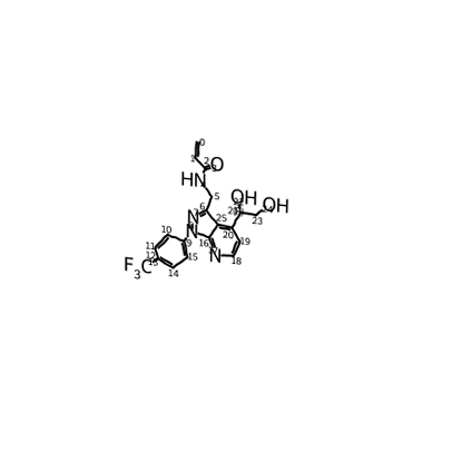 C=CC(=O)NCc1nn(-c2ccc(C(F)(F)F)cc2)c2nccc([C@@H](O)CO)c12